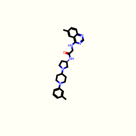 Cc1cccc(N2CCC(N3CC[C@@H](NC(=O)CNc4ncnc5ccc(C)cc45)C3)CC2)c1